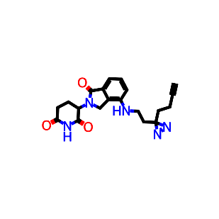 C#CCCC1(CCNc2cccc3c2CN(C2CCC(=O)NC2=O)C3=O)N=N1